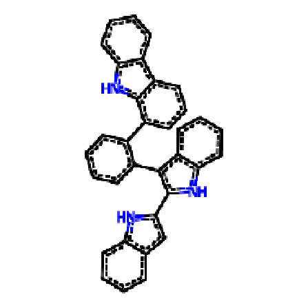 c1ccc(-c2cccc3c2[nH]c2ccccc23)c(-c2c(-c3cc4ccccc4[nH]3)[nH]c3ccccc23)c1